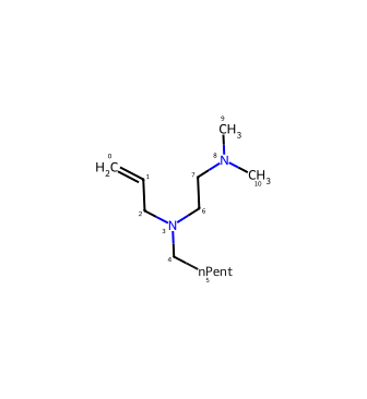 C=CCN(CCCCCC)CCN(C)C